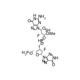 COC(OPOC[C@H]1[C@H](F)[C@H](n2nnc3c(=O)[nH]cnc32)O[C@@H]1COP)[C@H](F)[C@@H](OS)n1cnc2c(=O)[nH]c(N)nc21